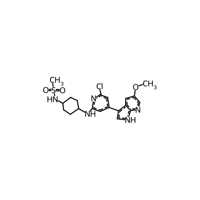 COc1cnc2[nH]cc(-c3cc(Cl)nc(NC4CCC(NS(C)(=O)=O)CC4)c3)c2c1